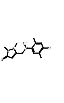 Cc1cc([S+]([O-])Cc2cc(=O)n(C)n2C)c(C)cc1Cl